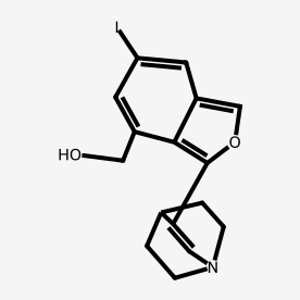 OCc1cc(I)cc2coc(C3=CN4CCC3CC4)c12